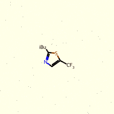 CCC(C)c1ncc(C(F)(F)F)s1